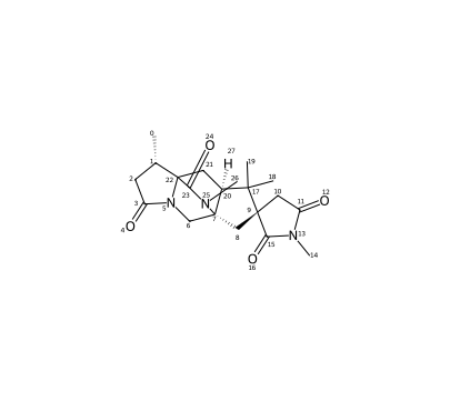 C[C@H]1CC(=O)N2C[C@]34C[C@]5(CC(=O)N(C)C5=O)C(C)(C)[C@@H]3CC12C(=O)N4C